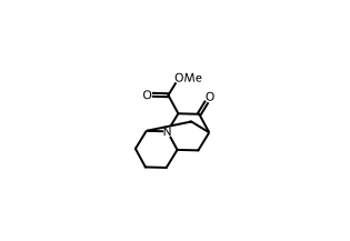 COC(=O)C1C(=O)C2CC3CCCC(C2)N31